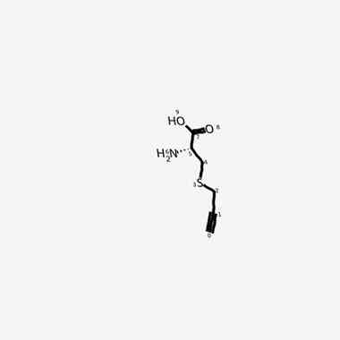 C#CCSC[C@H](N)C(=O)O